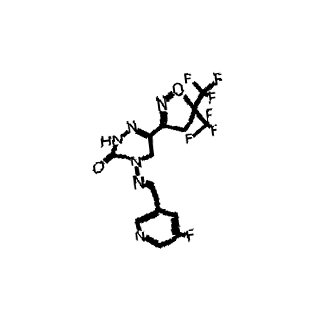 O=C1NN=C(C2=NOC(C(F)(F)F)(C(F)(F)F)C2)CN1/N=C/c1cncc(F)c1